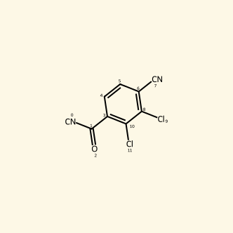 [C-]#[N+]C(=O)c1ccc(C#N)c(Cl)c1Cl